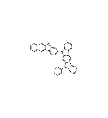 c1ccc(-n2c3ccccc3c3cc4c5ccccc5n(-c5ccc6c(c5)sc5cc7ccccc7cc56)c4cc32)cc1